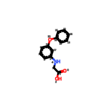 O=C(O)CNc1cccc(Oc2ccccc2)c1